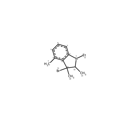 CCN1c2cccc(C)c2C(C)(Br)C1C